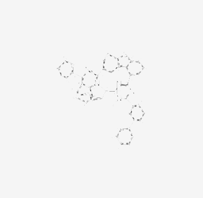 C=C/C=C\C(C)C/N=C(\N=C(/NC)c1cccc(-c2ccccc2)c1)c1cccc2sc3ccc(-c4nc(-c5ccccc5)c5ccccc5n4)cc3c12